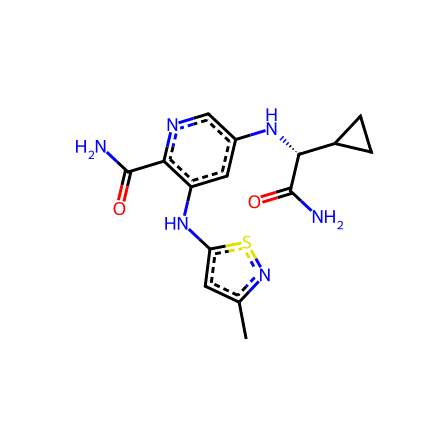 Cc1cc(Nc2cc(N[C@@H](C(N)=O)C3CC3)cnc2C(N)=O)sn1